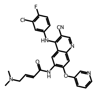 CN(C)CC=CC(=O)Nc1cc2c(Nc3ccc(F)c(Cl)c3)c(C#N)cnc2cc1Oc1cccnc1